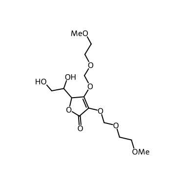 COCCOCOC1=C(OCOCCOC)C(C(O)CO)OC1=O